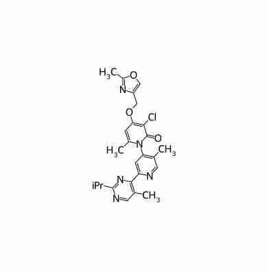 Cc1nc(COc2cc(C)n(-c3cc(-c4nc(C(C)C)ncc4C)ncc3C)c(=O)c2Cl)co1